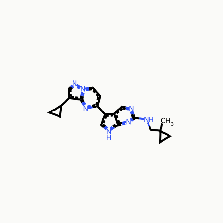 CC1(CNc2ncc3c(-c4ccn5ncc(C6CC6)c5n4)c[nH]c3n2)CC1